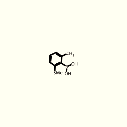 CSc1cccc(C)c1B(O)O